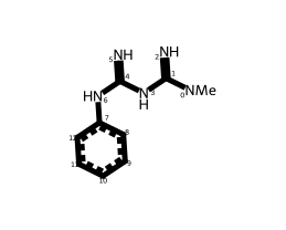 CNC(=N)NC(=N)Nc1ccccc1